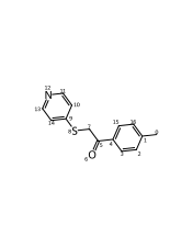 Cc1ccc(C(=O)CSc2ccncc2)cc1